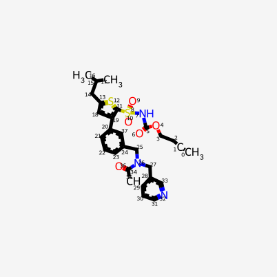 CCCCOC(=O)NS(=O)(=O)c1sc(CC(C)C)cc1-c1cccc(CN(Cc2cccnc2)C(C)=O)c1